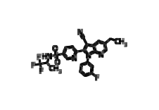 CCc1cnc2c(c1)c(C#N)c(-c1ccc(S(=O)(=O)N[C@@H](C)C(F)(F)F)cn1)n2-c1cccc(F)c1